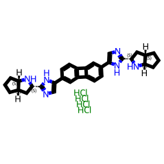 Cl.Cl.Cl.Cl.c1cc2c(cc1-c1cnc([C@@H]3C[C@@H]4CCC[C@@H]4N3)[nH]1)-c1ccc(-c3cnc([C@@H]4C[C@@H]5CCC[C@@H]5N4)[nH]3)cc1-2